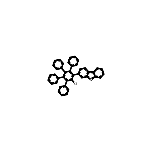 Clc1c(-c2ccccc2)c(-c2ccccc2)c(-c2ccccc2)c(-c2ccccc2)c1-c1ccc2c(c1)sc1ccccc12